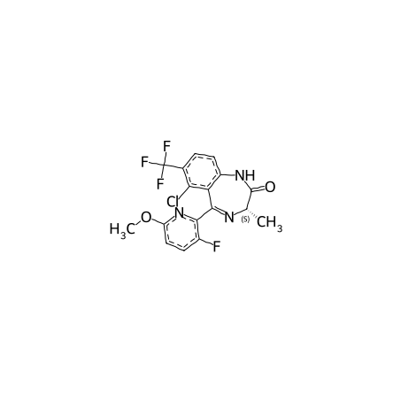 COc1ccc(F)c(C2=N[C@@H](C)C(=O)Nc3ccc(C(F)(F)F)c(Cl)c32)n1